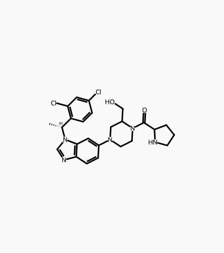 C[C@H](c1ccc(Cl)cc1Cl)n1cnc2ccc(N3CCN(C(=O)C4CCCN4)C(CO)C3)cc21